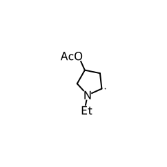 CCN1[CH]CC(OC(C)=O)C1